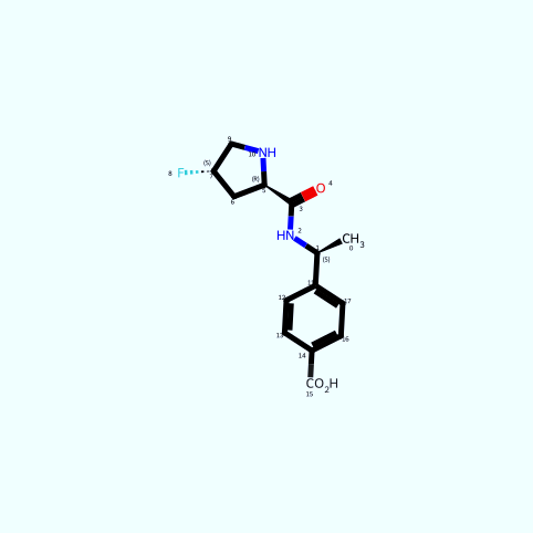 C[C@H](NC(=O)[C@H]1C[C@H](F)CN1)c1ccc(C(=O)O)cc1